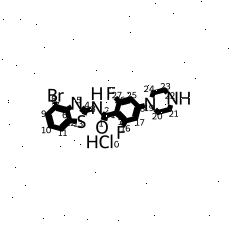 Cl.O=C(Nc1nc2c(Br)cccc2s1)c1c(F)cc(N2CCNCC2)cc1F